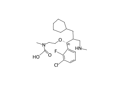 CNCC(CC1CCCCC1)[C@@H](OCCN(C)C(=O)O)c1cccc(Cl)c1F